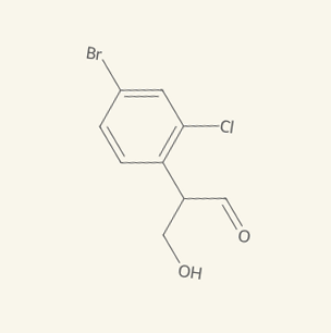 O=CC(CO)c1ccc(Br)cc1Cl